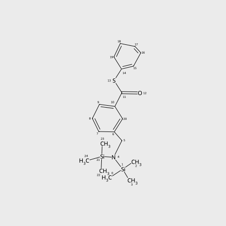 C[Si](C)(C)N(Cc1cccc(C(=O)Sc2ccccc2)c1)[Si](C)(C)C